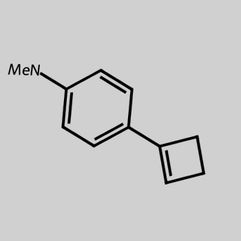 CNc1ccc(C2=CCC2)cc1